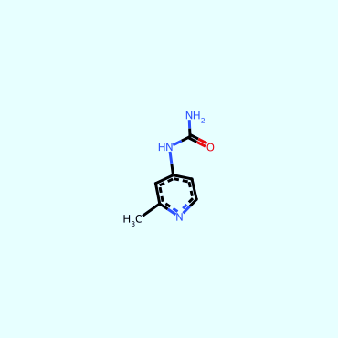 Cc1cc(NC(N)=O)ccn1